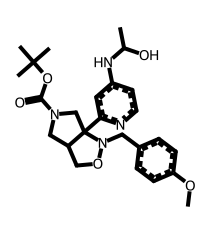 COc1ccc(CN2OCC3CN(C(=O)OC(C)(C)C)CC32c2cc(NC(C)O)ccn2)cc1